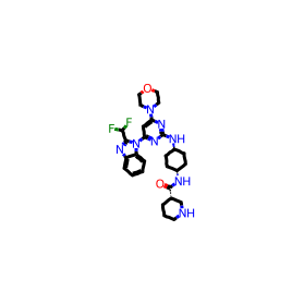 O=C(N[C@H]1CC[C@H](Nc2nc(N3CCOCC3)cc(-n3c(C(F)F)nc4ccccc43)n2)CC1)[C@H]1CCCNC1